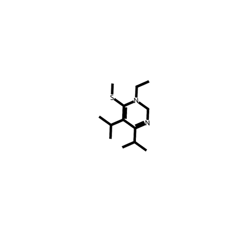 CCN1CN=C(C(C)C)C(C(C)C)=C1SC